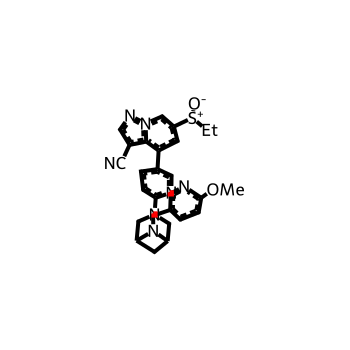 CC[S+]([O-])c1cc(-c2ccc(N3CC4CC(C3)N4Cc3ccc(OC)nc3)nc2)c2c(C#N)cnn2c1